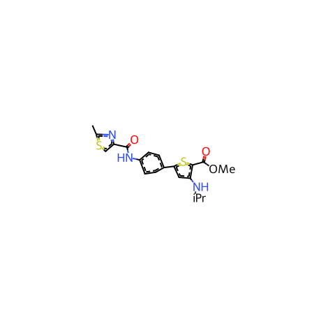 COC(=O)c1sc(-c2ccc(NC(=O)c3csc(C)n3)cc2)cc1NC(C)C